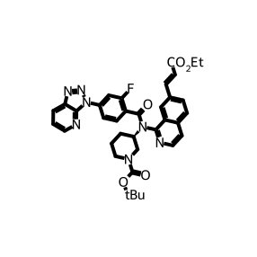 CCOC(=O)/C=C/c1ccc2ccnc(N(C(=O)c3ccc(-n4nnc5cccnc54)cc3F)[C@@H]3CCCN(C(=O)OC(C)(C)C)C3)c2c1